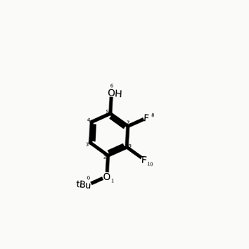 CC(C)(C)Oc1ccc(O)c(F)c1F